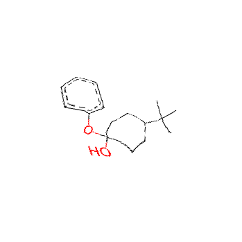 CC(C)(C)C1CCC(O)(Oc2ccccc2)CC1